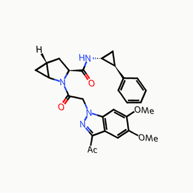 COc1cc2c(C(C)=O)nn(CC(=O)N3C4C[C@@H]4C[C@H]3C(=O)N[C@@H]3C[C@H]3c3ccccc3)c2cc1OC